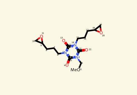 COCn1c(=O)n(CCCC2CO2)c(=O)n(CCCC2CO2)c1=O